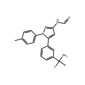 Cc1ccc(-n2nc(NC=O)cc2-c2cccc(C(F)(F)P)c2)cc1